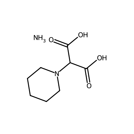 N.O=C(O)C(C(=O)O)N1CCCCC1